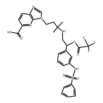 CC(C)(CCn1cnc2ccc(C(=O)O)nc21)NCC(OC(=O)C(F)(F)F)c1cccc(NS(=O)(=O)c2ccccc2)c1